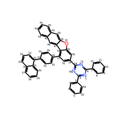 c1ccc(-c2nc(-c3ccccc3)nc(-c3cc(-c4ccc(-c5cccc6ccccc56)cc4)c4c(c3)oc3cc5ccccc5cc34)n2)cc1